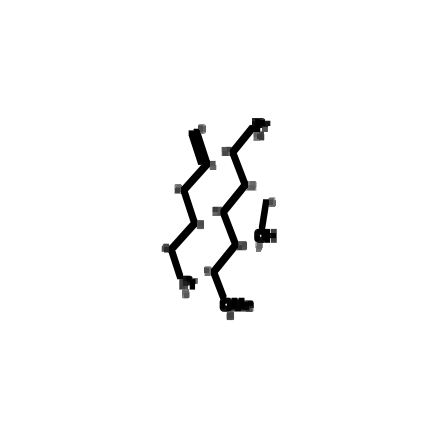 C=CCCCC(C)C.CO.COCCCCCC(C)C